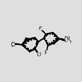 Cc1cc(F)c(-c2ccc(Cl)[c]c2Cl)c(F)c1